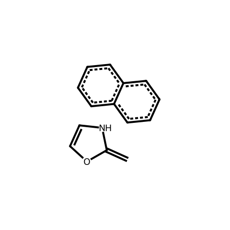 C=C1NC=CO1.c1ccc2ccccc2c1